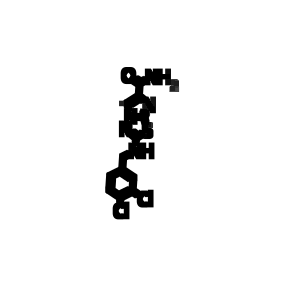 NC(=O)c1[c]n2nc(NCc3ccc(Cl)c(Cl)c3)sc2n1